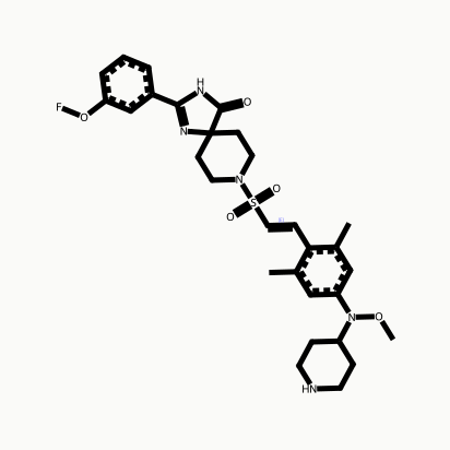 CON(c1cc(C)c(/C=C/S(=O)(=O)N2CCC3(CC2)N=C(c2cccc(OF)c2)NC3=O)c(C)c1)C1CCNCC1